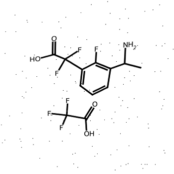 CC(N)c1cccc(C(F)(F)C(=O)O)c1F.O=C(O)C(F)(F)F